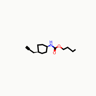 C#CC[C@H]1CC[C@@H](NC(=O)OCCCC)CC1